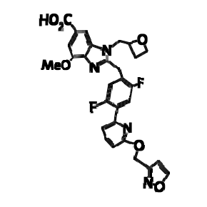 COc1cc(C(=O)O)cc2c1nc(Cc1cc(F)c(-c3cccc(OCc4ccon4)n3)cc1F)n2CC1CCO1